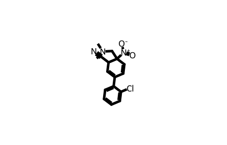 CN(C)CC1([N+](=O)[O-])C=CC(c2ccccc2Cl)=CC1C#N